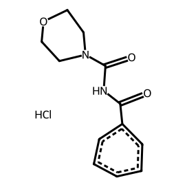 Cl.O=C(NC(=O)N1CCOCC1)c1ccccc1